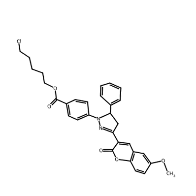 COc1ccc2oc(=O)c(C3=NN(c4ccc(C(=O)OCCCCCCl)cc4)C(c4ccccc4)C3)cc2c1